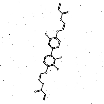 C=CC(=O)O/C=C\Oc1ccc(-c2ccc(O/C=C\OC(=O)C=C)c(F)c2F)cc1F